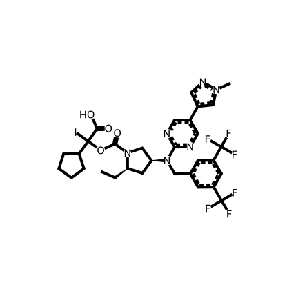 CC[C@@H]1C[C@H](N(Cc2cc(C(F)(F)F)cc(C(F)(F)F)c2)c2ncc(-c3cnn(C)c3)cn2)CN1C(=O)OC(I)(C(=O)O)C1CCCC1